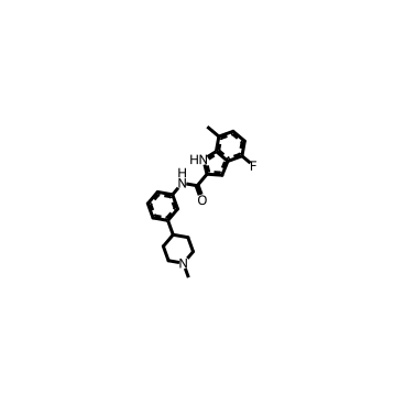 Cc1ccc(F)c2cc(C(=O)Nc3cccc(C4CCN(C)CC4)c3)[nH]c12